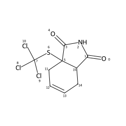 O=C1NC(=O)C2(SC(Cl)(Cl)Cl)CC=CCC12